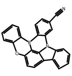 N#Cc1ccc2c(c1)-n1c3ccccc3c3ccc4c(c31)B2c1ccccc1O4